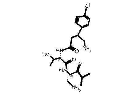 CC(C)C(=O)[C@H](CN)NC(=O)[C@@H](NC(=O)CC(CN)c1ccc(Cl)cc1)C(C)O